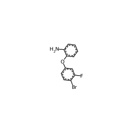 Nc1ccccc1Oc1ccc(Br)c(F)c1